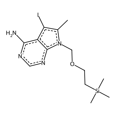 Cc1c(I)c2c(N)ncnc2n1COCC[Si](C)(C)C